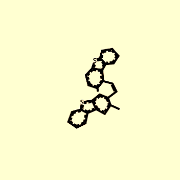 Cc1cc2c(cc1/C=C\c1c(C)ccc3sc4ccccc4c13)sc1ccccc12